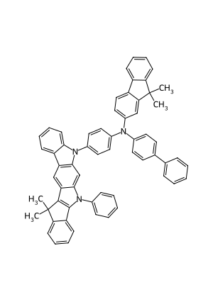 CC1(C)c2ccccc2-c2ccc(N(c3ccc(-c4ccccc4)cc3)c3ccc(-n4c5ccccc5c5cc6c7c(n(-c8ccccc8)c6cc54)-c4ccccc4C7(C)C)cc3)cc21